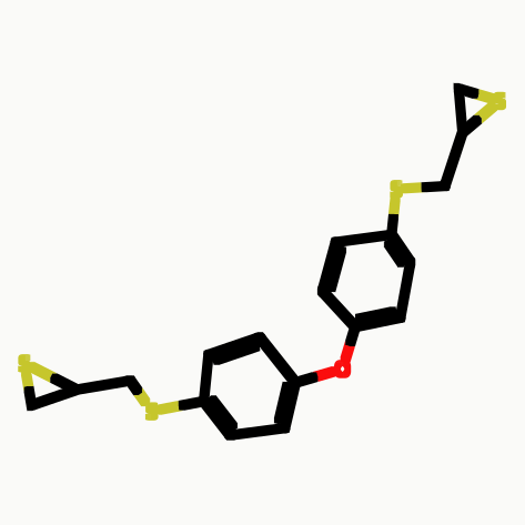 c1cc(SCC2CS2)ccc1Oc1ccc(SCC2CS2)cc1